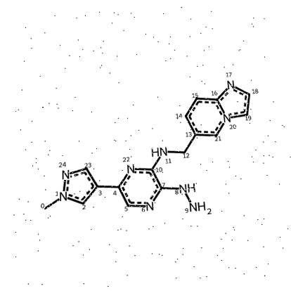 Cn1cc(-c2cnc(NN)c(NCc3ccc4nccn4c3)n2)cn1